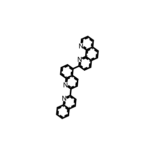 c1ccc2nc(-c3ccc4c(-c5ccc6ccc7cccnc7c6n5)cccc4n3)ccc2c1